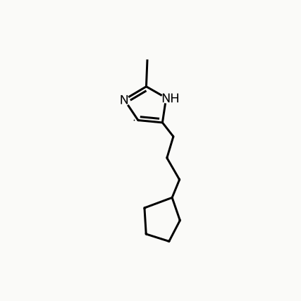 Cc1n[c]c(CCCC2CCCC2)[nH]1